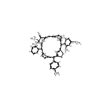 Cc1ccc(-c2c3nc(c(-c4c(C)cc(C)cc4C)c4ccc(cc5nc(c(-c6ccccc6)c6ccc2[nH]6)C(C)(C)C5=O)[nH]4)CC3)cc1